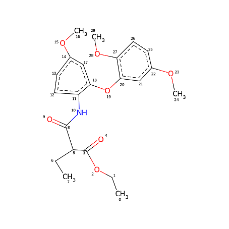 CCOC(=O)C(CC)C(=O)Nc1ccc(OC)cc1Oc1cc(OC)ccc1OC